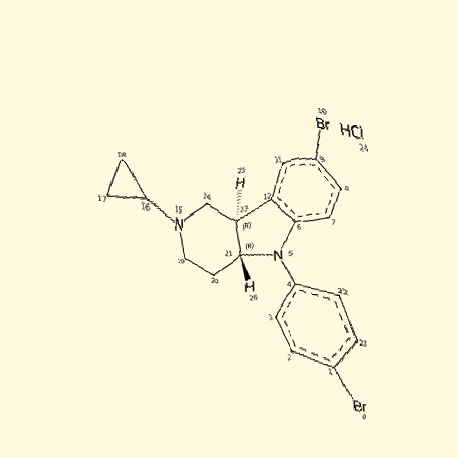 Brc1ccc(N2c3ccc(Br)cc3[C@@H]3CN(C4CC4)CC[C@H]32)cc1.Cl